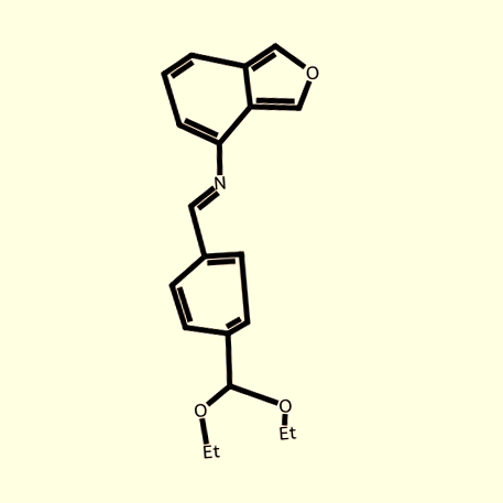 CCOC(OCC)c1ccc(/C=N/c2cccc3cocc23)cc1